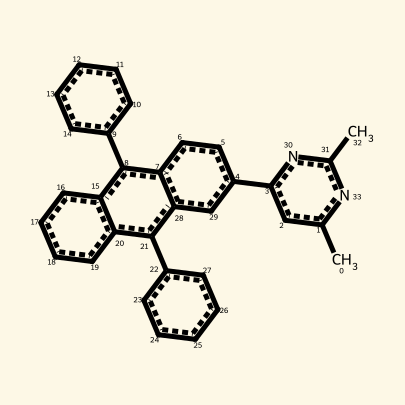 Cc1cc(-c2ccc3c(-c4ccccc4)c4ccccc4c(-c4ccccc4)c3c2)nc(C)n1